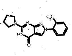 O=c1[nH]c(N2CCCC2)nc2nn(-c3ccccc3C(F)(F)F)cc12